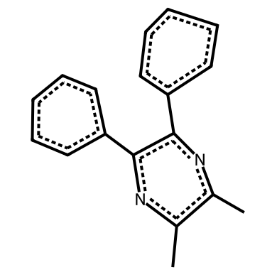 Cc1nc(-c2ccccc2)c(-c2ccccc2)nc1C